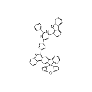 c1ccc(-c2nc(-c3ccc(-c4nc5ccccc5c5cc6c(cc45)-c4ccccc4C64c5ccccc5Oc5ccccc54)cc3)cc(-c3cccc4c3oc3ccccc34)n2)cc1